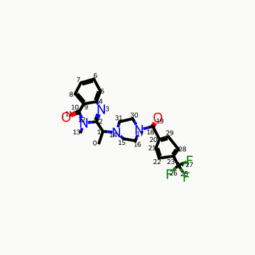 CC(c1nc2ccccc2c(=O)n1C)N1CCN(C(=O)c2ccc(C(F)(F)F)cc2)CC1